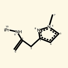 C=C(Cc1ccn(C)n1)NC(C)C